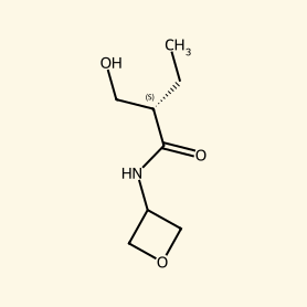 CC[C@@H](CO)C(=O)NC1COC1